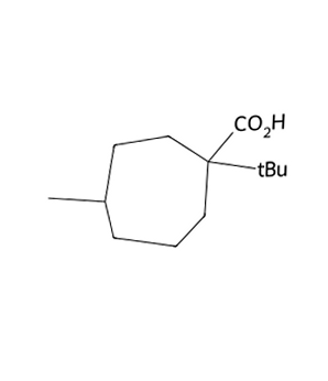 CC1CCCC(C(=O)O)(C(C)(C)C)CC1